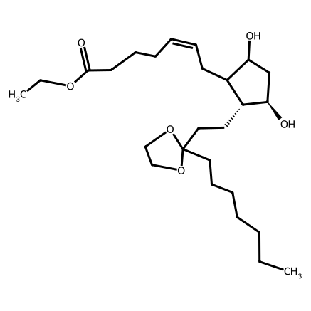 CCCCCCCC1(CC[C@@H]2C(C/C=C\CCCC(=O)OCC)C(O)C[C@H]2O)OCCO1